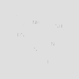 Nc1nc(F)nc2[nH]c(=O)[nH]c12